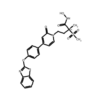 C[C@@](CCn1ccc(-c2ccc(Oc3nc4ccccc4s3)cc2)cc1=O)(C(=O)NO)S(C)(=O)=O